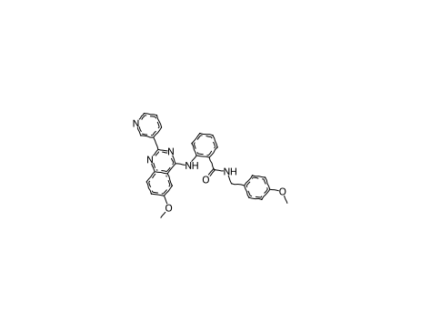 COc1ccc(CNC(=O)c2ccccc2Nc2nc(-c3cccnc3)nc3ccc(OC)cc23)cc1